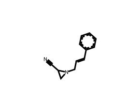 N#CC1CN1CC=Cc1ccccc1